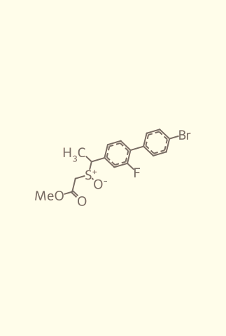 COC(=O)C[S+]([O-])C(C)c1ccc(-c2ccc(Br)cc2)c(F)c1